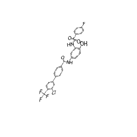 O=C(Nc1ccc(O)c(NS(=O)(=O)c2ccc(F)cc2)c1)c1ccc(-c2ccc(C(F)(F)F)c(Cl)c2)cc1